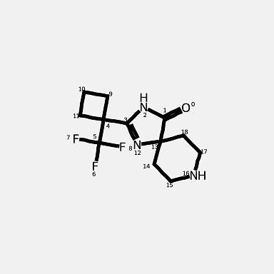 O=C1NC(C2(C(F)(F)F)CCC2)=NC12CCNCC2